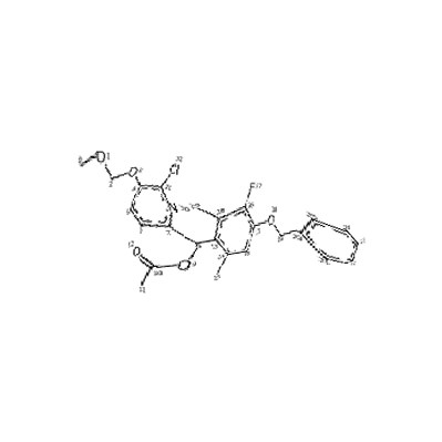 COCOc1ccc(C(OC(C)=O)c2c(C)cc(OCc3ccccc3)c(F)c2C)nc1Cl